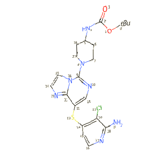 CC(C)(C)OC(=O)NC1CCN(c2ncc(Sc3ccnc(N)c3Cl)c3nccn23)CC1